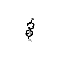 CC1C2CNCC1N2c1ccc(C#N)cn1